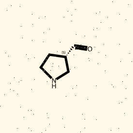 O=C[C@H]1CCNC1